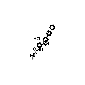 Cl.O=C(NCC(F)(F)F)Nc1cccc(-c2cnc3cc(-c4ccc(N5CCCCC5)nc4)ccn23)c1